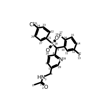 CC(=O)NCc1ccc(C(c2cc(F)ccc2F)S(=O)(=O)c2ccc(Cl)cc2)nc1